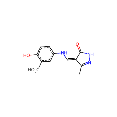 CC1=NNC(=O)C1=CNc1ccc(O)c(C(=O)O)c1